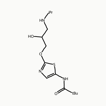 CC(C)NCC(O)COc1ncc(NC(=O)C(C)(C)C)s1